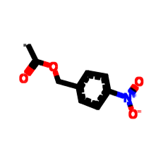 [CH2]C(=O)OCc1ccc([N+](=O)[O-])cc1